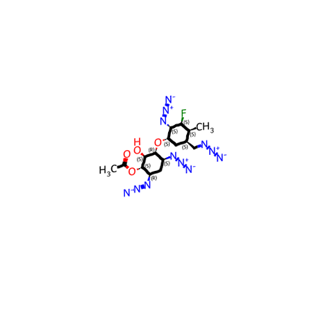 CC(=O)O[C@@H]1[C@@H](O)[C@H](O[C@H]2C[C@H](CN=[N+]=[N-])[C@H](C)[C@H](F)[C@H]2N=[N+]=[N-])[C@@H](N=[N+]=[N-])C[C@H]1N=[N+]=[N-]